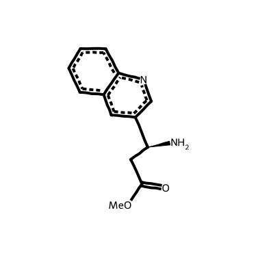 COC(=O)C[C@H](N)c1cnc2ccccc2c1